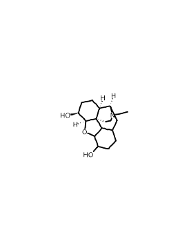 CN1CC[C@]23C4C5CCC(O)C4O[C@H]2[C@@H](O)CC[C@H]3[C@H]1C5